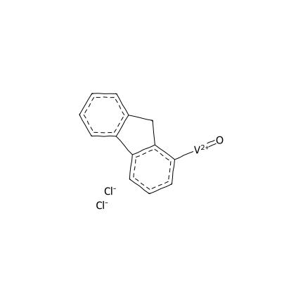 [Cl-].[Cl-].[O]=[V+2][c]1cccc2c1Cc1ccccc1-2